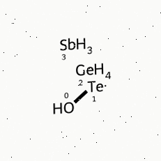 O[Te].[GeH4].[SbH3]